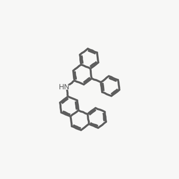 c1ccc(-c2cc(Nc3ccc4ccc5ccccc5c4c3)cc3ccccc23)cc1